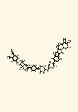 CC1(C)C(NC(=O)c2ccc(N3CCC(CN4CC=C(c5ccc6c7c(oc6c5)C(=O)N(C5CCC(=O)NC5=O)C7)CC4)CC3)cc2)C(C)(C)C1Oc1ccc(C#N)c(Cl)c1